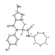 CCc1ccc(N2C(=O)c3cc(C(C)(C)C)nn3CC2(C)C(=O)NC2CCCCCC2)cc1